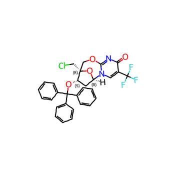 O=c1nc2n(cc1C(F)(F)F)[C@H]1C[C@H](OC(c3ccccc3)(c3ccccc3)c3ccccc3)[C@@](CCl)(CO2)O1